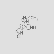 CCc1noc(C(Oc2cnc(Cl)nc2)C2(F)CCNCC2)n1